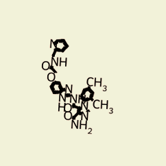 Cc1ccc(-n2cnc(C(N)=O)c2C(=O)Nc2nc3cc(OCC(=O)NCc4ccccn4)ccc3[nH]2)c(C)c1